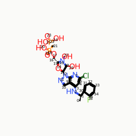 C[C@@H](Nc1cc(Cl)nc2c1cnn2[C@H]1O[C@H](COP(=O)(O)CP(=O)(O)O)N(O)[C@H]1O)c1ccccc1F